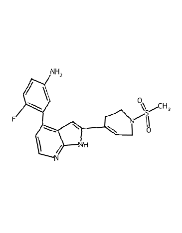 CS(=O)(=O)N1CC=C(c2cc3c(-c4cc(N)ccc4F)ccnc3[nH]2)CC1